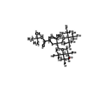 CC(C)(C)OC(=O)NCC(COC(C(F)(F)F)(C(F)(F)F)C(F)(F)F)(COC(C(F)(F)F)(C(F)(F)F)C(F)(F)F)C(=O)O